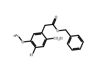 CCCOc1cc(CC(=O)OCc2ccccc2)c(C(=O)OCC)cc1CC